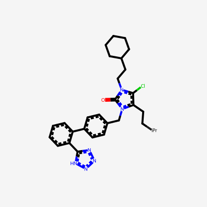 CC(C)CCc1c(Cl)n(CCC2CCCCC2)c(=O)n1Cc1ccc(-c2ccccc2-c2nnn[nH]2)cc1